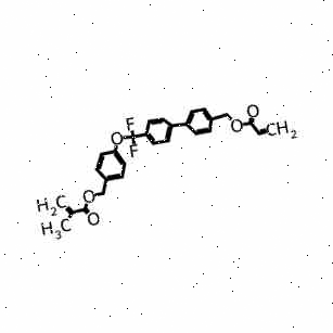 C=CC(=O)OCc1ccc(-c2ccc(C(F)(F)Oc3ccc(COC(=O)C(=C)C)cc3)cc2)cc1